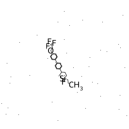 CCC[Si]1(F)CCC(c2ccc(-c3ccc(OCC(F)(F)F)cc3)cc2)CC1